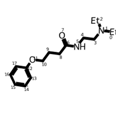 CCN(CC)CCNC(=O)CCCOc1c[c]ccc1